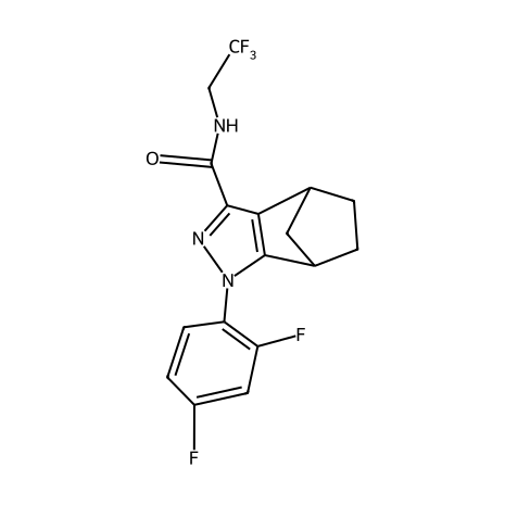 O=C(NCC(F)(F)F)c1nn(-c2ccc(F)cc2F)c2c1C1CCC2C1